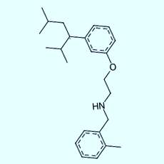 Cc1ccccc1CNCCOc1cccc([C](CC(C)C)C(C)C)c1